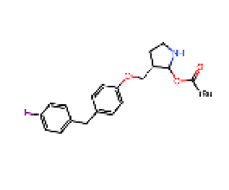 CC(C)(C)C(=O)OC1NCC[C@H]1COc1ccc(Cc2ccc(I)cc2)cc1